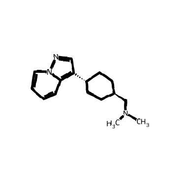 CN(C)C[C@H]1CC[C@H](c2cnn3ccccc23)CC1